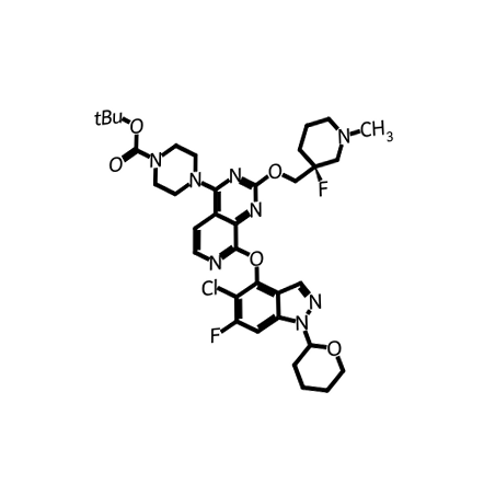 CN1CCC[C@@](F)(COc2nc(N3CCN(C(=O)OC(C)(C)C)CC3)c3ccnc(Oc4c(Cl)c(F)cc5c4cnn5C4CCCCO4)c3n2)C1